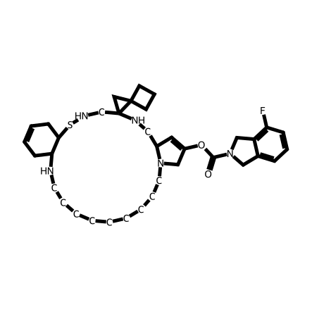 O=C(OC1=CC2CNC3(CNSC4CC=CCC4NCCCCCCCCCN2C1)CC31CCC1)N1Cc2cccc(F)c2C1